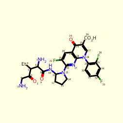 CCC(C(=O)CN)C(N)C(=O)NC1CCCN1c1nc2c(cc1F)c(=O)c(C(=O)O)cn2-c1ccc(F)cc1F